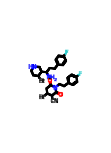 CCC1CC(=O)N(CCc2ccc(F)cc2)C(=O)C1C#N.CCC1CCNCC1C(N)CCc1ccc(F)cc1